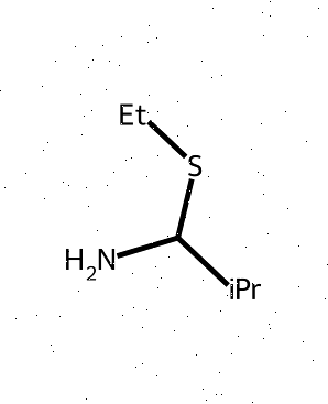 CCSC(N)C(C)C